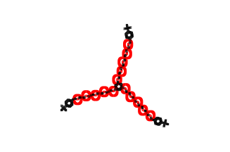 CC(C)(C)c1ccc(COCCOCCOCCOCCOc2cc(OCCOCCOCCOCCOCc3ccc(C(C)(C)C)cc3)cc(OCCOCCOCCOCCOCc3ccc(C(C)(C)C)cc3)c2)cc1